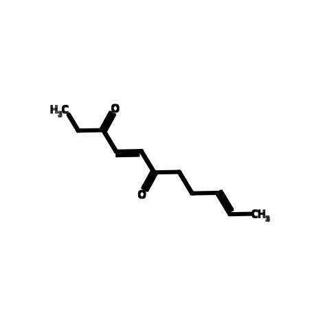 CC=CCCC(=O)C=CC(=O)CC